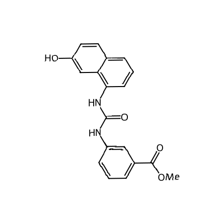 COC(=O)c1cccc(NC(=O)Nc2cccc3ccc(O)cc23)c1